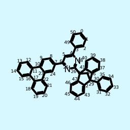 c1ccc(-c2cc(-c3ccc4c5ccccc5c5ccccc5c4c3)nc(C34CC(c5ccccc5)(c5ccccc53)c3ccccc34)n2)cc1